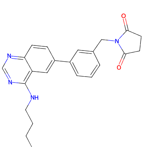 CCCCNc1ncnc2ccc(-c3cccc(CN4C(=O)CCC4=O)c3)cc12